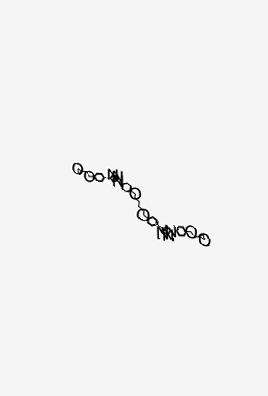 c1cc(-c2cn(-c3ccc(OCC4CO4)cc3)nn2)ccc1OCCCCOc1ccc(-n2cc(-c3ccc(OCC4CO4)cc3)nn2)cc1